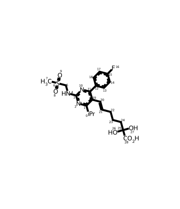 CC(C)c1nc(NCS(C)(=O)=O)nc(-c2ccc(F)cc2)c1C=CCCCC(O)(O)C(=O)O